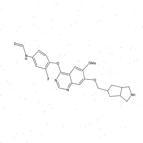 COc1cc2c(Oc3ccc(NC=S)cc3F)ncnc2cc1OCC1CC2CNCC2C1